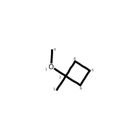 COC1(C)CCC1